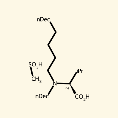 CCCCCCCCCCCCCCN(CCCCCCCCCC)[C@H](C(=O)O)C(C)C.CS(=O)(=O)O